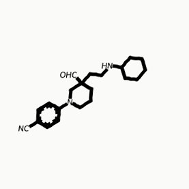 N#Cc1ccc(N2CCCC(C=O)(CCNC3CCCCC3)C2)cc1